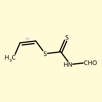 C/C=C\SC(=S)NC=O